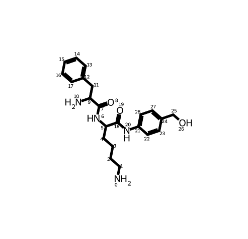 NCCCCC(NC(=O)C(N)Cc1ccccc1)C(=O)Nc1ccc(CO)cc1